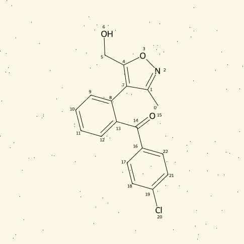 Cc1noc(CO)c1-c1ccccc1C(=O)c1ccc(Cl)cc1